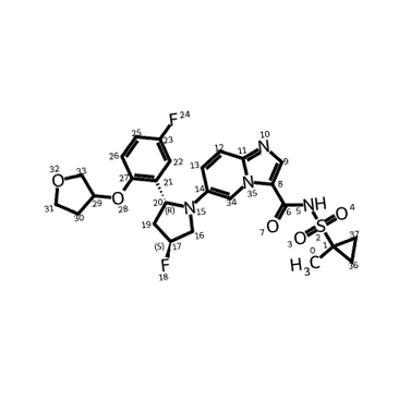 CC1(S(=O)(=O)NC(=O)c2cnc3ccc(N4C[C@@H](F)C[C@@H]4c4cc(F)ccc4OC4CCOC4)cn23)CC1